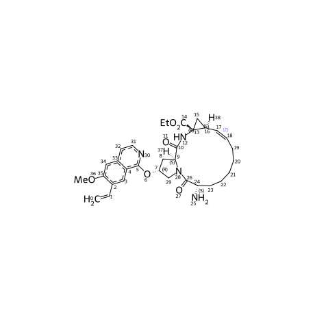 C=Cc1cc2c(O[C@@H]3C[C@H]4C(=O)N[C@]5(C(=O)OCC)C[C@H]5/C=C\CCCCC[C@H](N)C(=O)N4C3)nccc2cc1OC